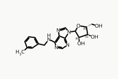 Cc1cccc(CNc2ncnc3c2ncn3C2O[C@H](CO)[C@@H](O)[C@H]2O)c1